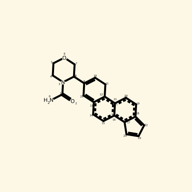 NC(=O)N1CCOCC1C1=CCc2c(ccc3c4c(ccc23)=CC=C4)=C1